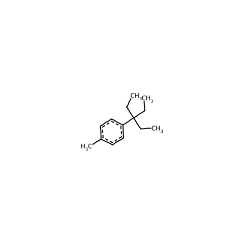 CCC(CC)(CC)c1ccc(C)cc1